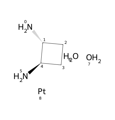 N[C@@H]1CC[C@H]1N.O.O.[Pt]